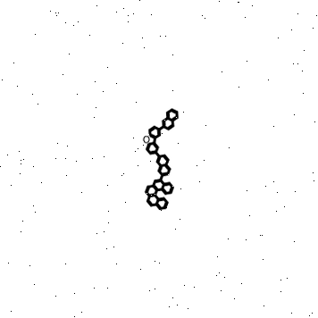 c1ccc2cc(-c3ccc4oc5ccc(-c6ccc7ccc(-c8cc9ccc%10ccc%11ccccc%11c%10c9c9ccccc89)cc7c6)cc5c4c3)ccc2c1